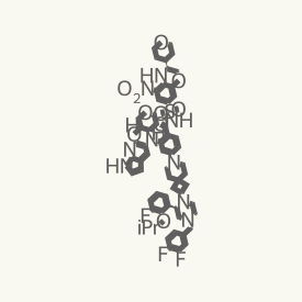 CC(C)Oc1c(F)cccc1[C@@H]1CN(Cc2ccc(F)c(F)c2)CCN1C1CC2(CCN(c3ccc(C(=O)NS(=O)(=O)c4cc5c(c([N+](=O)[O-])c4)N[C@H](C4CCOCC4)CO5)c(N4c5cc6cc[nH]c6nc5O[C@H]5COCC[C@@H]54)c3)CC2)C1